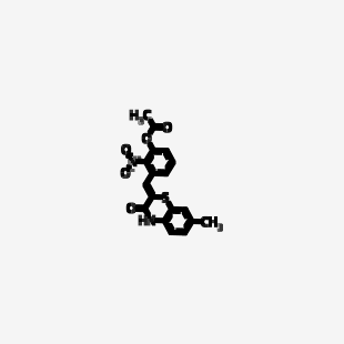 CC(=O)Oc1cccc(C=C2Sc3cc(C)ccc3NC2=O)c1[N+](=O)[O-]